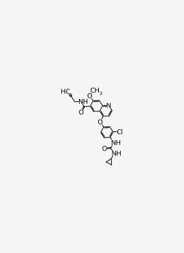 C#CCNC(=O)c1cc2c(Oc3ccc(NC(=O)NC4CC4)c(Cl)c3)ccnc2cc1OC